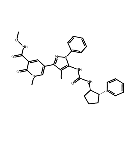 CONC(=O)c1cc(-c2nn(-c3ccccc3)c(NC(=O)N[C@@H]3CCC[C@H]3c3ccccc3)c2C)cn(C)c1=O